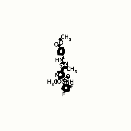 CCOC(=O)[C@H]1CC[C@H](CNc2nc(C)c(-c3cnc(OC)c(S(=O)(=O)Nc4ccc(F)cc4F)c3)s2)CC1